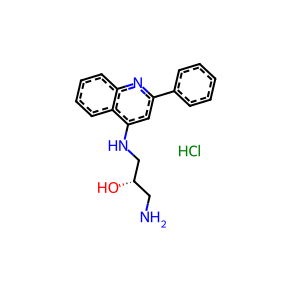 Cl.NC[C@H](O)CNc1cc(-c2ccccc2)nc2ccccc12